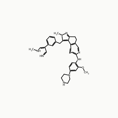 CN/C=C(\C=N)c1cccc(Cc2c3c(nn2C)CCC2=C3/C=C/C=C(Nc3ccc(N4CCNCC4)cc3OC)/N=C\2)c1